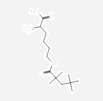 CC(C)(C)CC(C)(C)C(=O)NCCCCC(N)C(=O)O